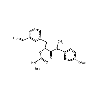 C=Cc1cccc(C[C@H](OC(=O)NC(C)(C)C)C(=O)N(C)c2ccc(OC)cc2)c1